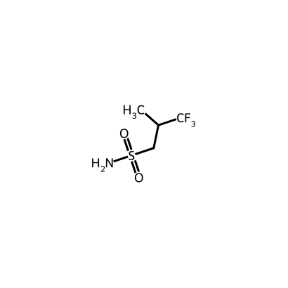 CC(CS(N)(=O)=O)C(F)(F)F